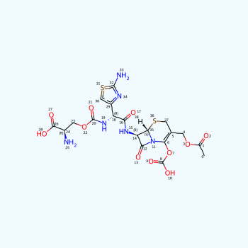 CC(=O)OCC1=C(OC(=O)O)N2C(=O)[C@@H](NC(=O)[C@H](NC(=O)OC[C@@H](N)C(=O)O)c3csc(N)n3)[C@@H]2SC1